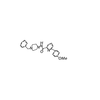 COc1ccc(-c2cccc(C(=O)NN3CCN(Cc4ccccc4)CC3)n2)cc1